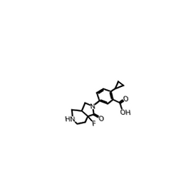 O=C(O)c1cc(N2CC3CNCCC3(F)C2=O)ccc1C1CC1